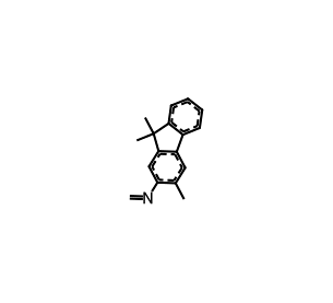 C=Nc1cc2c(cc1C)-c1ccccc1C2(C)C